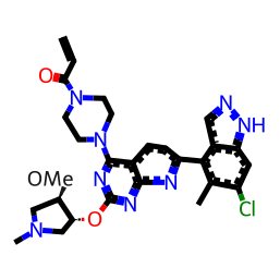 C=CC(=O)N1CCN(c2nc(O[C@@H]3CN(C)C[C@H]3OC)nc3nc(-c4c(C)c(Cl)cc5[nH]ncc45)ccc23)CC1